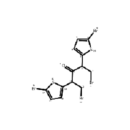 O=C(C(CBr)c1ccc(Br)s1)C(CBr)c1ccc(Br)s1